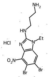 CCn1c(NCCCN)nc2c([N+](=O)[O-])c(Br)c(Br)cc21.Cl